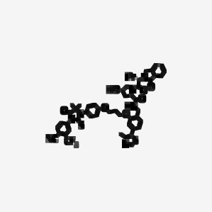 Cc1ncsc1-c1ccc(CNC(=O)C2C[C@@H](O)CN2C(=O)[C@H](C(C)C)N2Cc3ccccc3C2=O)c(OCCCOc2ccc(N3C(=S)N(c4ccc(C#N)c(C(F)(F)F)c4)C(=O)C3(C)C)cc2)c1